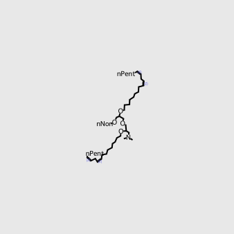 CCCCC/C=C\C/C=C\CCCCCCCCOC(COCCCCCCCCC)COCC(CN(C)C)OCCCCCCCC/C=C\C/C=C\CCCCC